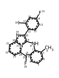 Cc1cccc(I)c1Nc1c(-c2ccc(F)cc2I)nc2cccc(CF)n12